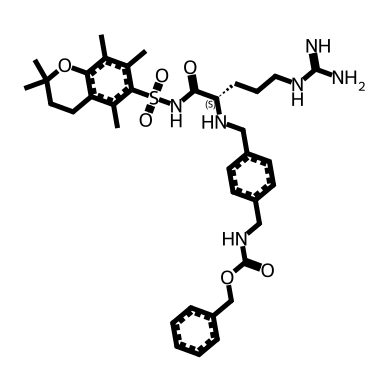 Cc1c(C)c(S(=O)(=O)NC(=O)[C@H](CCCNC(=N)N)NCc2ccc(CNC(=O)OCc3ccccc3)cc2)c(C)c2c1OC(C)(C)CC2